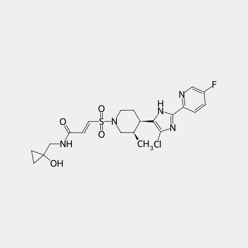 C[C@H]1CN(S(=O)(=O)C=CC(=O)NCC2(O)CC2)CC[C@H]1c1[nH]c(-c2ccc(F)cn2)nc1Cl